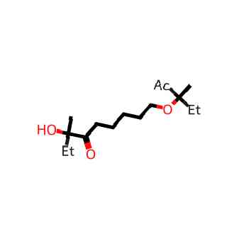 CCC(C)(O)C(=O)CCCCCOC(C)(CC)C(C)=O